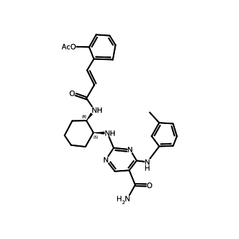 CC(=O)Oc1ccccc1C=CC(=O)N[C@@H]1CCCC[C@@H]1Nc1ncc(C(N)=O)c(Nc2cccc(C)c2)n1